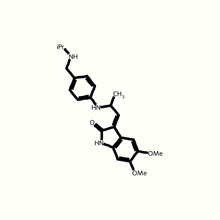 COc1cc2c(cc1OC)C(=CC(C)Nc1ccc(CNC(C)C)cc1)C(=O)N2